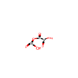 O=[Si](O)O[Si](=O)[Si](=O)O